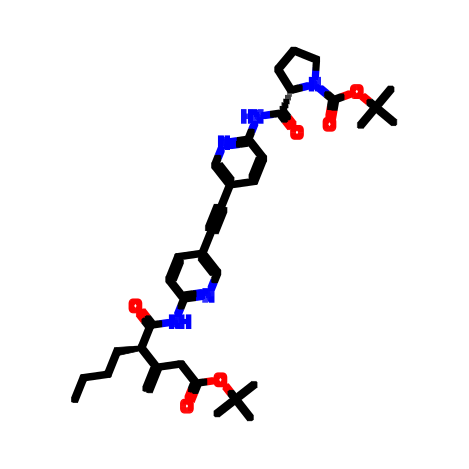 C=C(CC(=O)OC(C)(C)C)[C@@H](CCCC)C(=O)Nc1ccc(C#Cc2ccc(NC(=O)[C@@H]3CCCN3C(=O)OC(C)(C)C)nc2)cn1